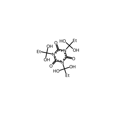 CCC(O)(O)n1c(=O)n(C(O)(O)CC)c(=O)n(C(O)(O)CC)c1=O